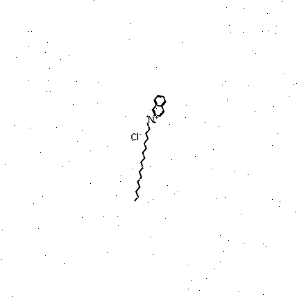 CCCCCCCCCCCCCCCCC[N+](C)(C)c1ccc2ccccc2c1.[Cl-]